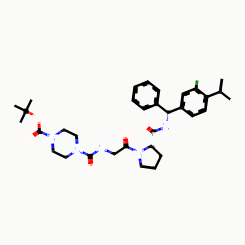 CC(C)c1ccc([C@@H](NC(=O)[C@@H]2CCCN2C(=O)CNC(=O)N2CCN(C(=O)OC(C)(C)C)CC2)c2ccccc2)cc1F